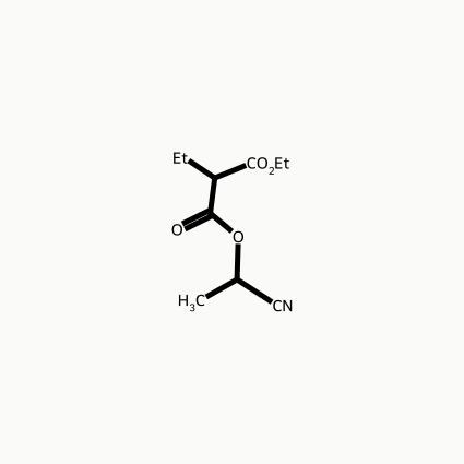 CCOC(=O)C(CC)C(=O)OC(C)C#N